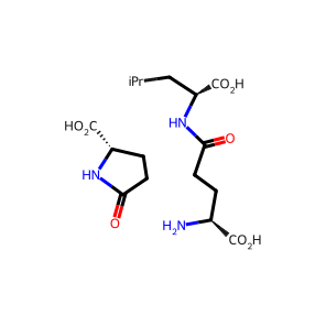 CC(C)C[C@H](NC(=O)CC[C@H](N)C(=O)O)C(=O)O.O=C1CC[C@@H](C(=O)O)N1